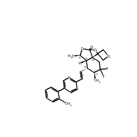 Cc1ccccc1-c1ccc(/C=C/[C@@H]2[C@@H]3[C@@H](C)OC(=O)[C@]3(C3(O)COC3)CC(F)(F)[C@H]2C)nc1